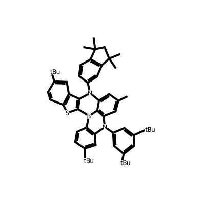 Cc1cc2c3c(c1)N(c1ccc4c(c1)C(C)(C)CC4(C)C)c1c(sc4ccc(C(C)(C)C)cc14)B3c1ccc(C(C)(C)C)cc1N2c1cc(C(C)(C)C)cc(C(C)(C)C)c1